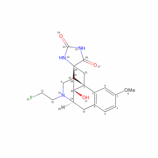 COc1ccc2c(c1)[C@]13CCN(CCF)[C@H](C2)[C@]1(O)CC[C@@]1(C3)NC(=O)NC1=O